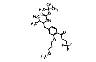 COCCCOc1cc(CC(NC(=O)OC(C)(C)C)C(C)C)ccc1C(=O)CCC(F)(F)F